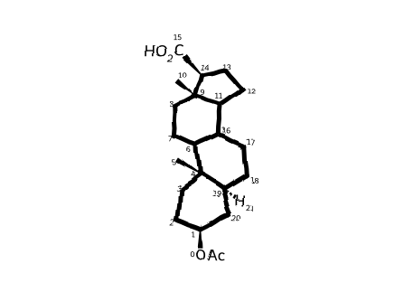 CC(=O)O[C@H]1CC[C@]2(C)C3CC[C@@]4(C)C(CC[C@@H]4C(=O)O)C3CC[C@H]2C1